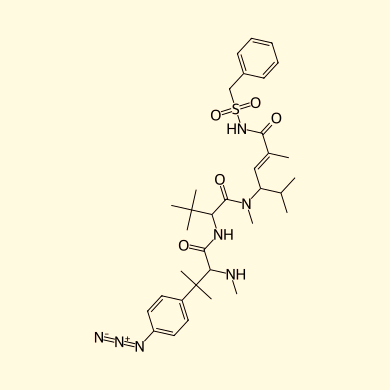 CNC(C(=O)NC(C(=O)N(C)C(C=C(C)C(=O)NS(=O)(=O)Cc1ccccc1)C(C)C)C(C)(C)C)C(C)(C)c1ccc(N=[N+]=[N-])cc1